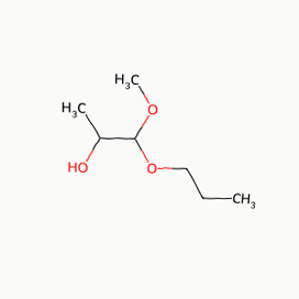 CCCOC(OC)C(C)O